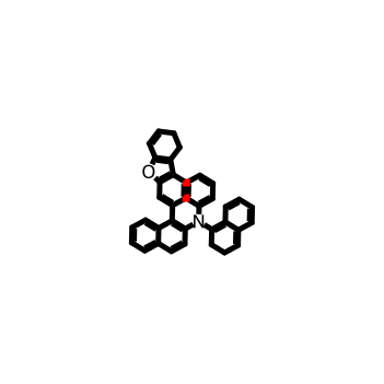 C1=Cc2oc3cc(-c4c(N(C5=c6ccccc6=CCC5)c5ccccc5)ccc5ccccc45)ccc3c2CC1